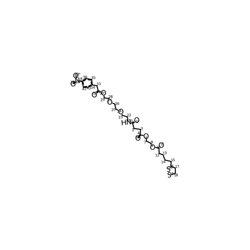 O=C(CCC(=O)OCCOC(=O)CCCCC1CCSS1)NCCOCCOCCOC(=O)Cc1ccc([N+](=O)[O-])cc1